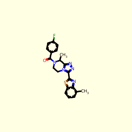 Cc1cccc2sc(-c3nnc4n3CCN(C(=O)c3ccc(F)cc3)C4C)nc12